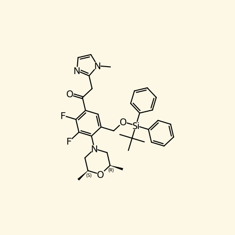 C[C@@H]1CN(c2c(CO[Si](c3ccccc3)(c3ccccc3)C(C)(C)C)cc(C(=O)Cc3nccn3C)c(F)c2F)C[C@H](C)O1